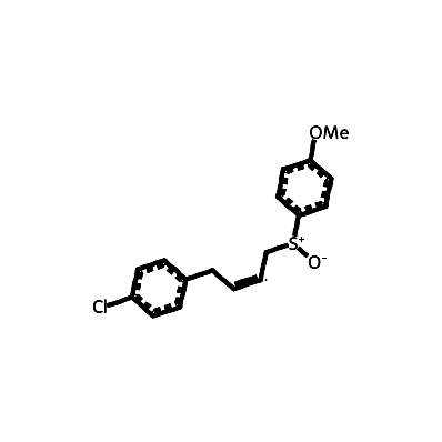 COc1ccc([S+]([O-])C/[C]=C\Cc2ccc(Cl)cc2)cc1